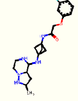 CC1CC2C(NC34CC(NC(=O)COc5cccc(F)c5)(C3)C4)NCCN2N1